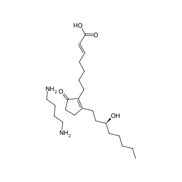 CCCCC[C@H](O)CCC1=C(CCCCC=CC(=O)O)C(=O)CC1.NCCCCN